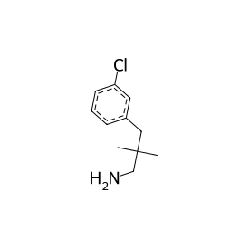 CC(C)(CN)Cc1cccc(Cl)c1